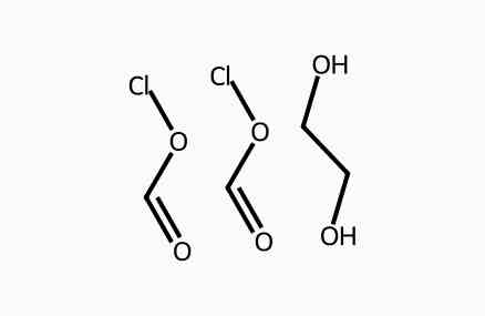 O=COCl.O=COCl.OCCO